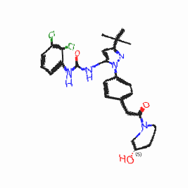 CC(C)(C)c1cc(NC(=O)Nc2cccc(Cl)c2Cl)n(-c2ccc(CC(=O)N3CC[C@H](O)C3)cc2)n1